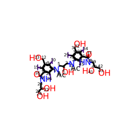 CC(=O)N(CC(O)CN(C(C)=O)c1c(I)c(CO)c(I)c(C(=O)NCC(O)CO)c1I)c1c(I)c(CO)c(I)c(C(=O)NCC(O)CO)c1I